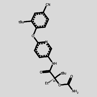 CC[C@](OC(N)=O)(C(=O)Nc1ccc(Oc2ccc(C#N)cc2C(C)(C)C)nc1)C(C)(C)C